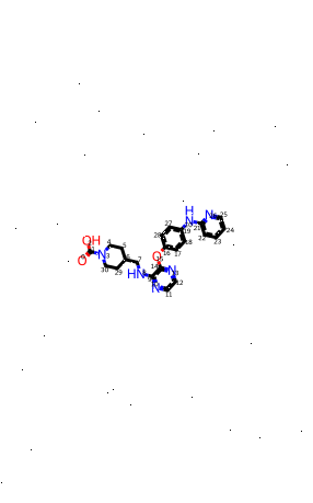 O=C(O)N1CCC(CNc2nccnc2Oc2ccc(Nc3ccccn3)cc2)CC1